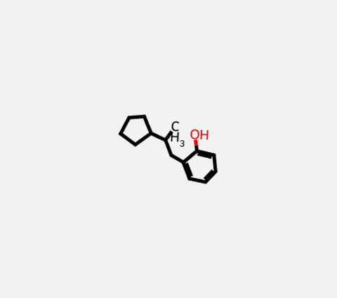 CC(Cc1ccccc1O)C1CCCC1